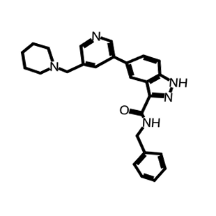 O=C(NCc1ccccc1)c1n[nH]c2ccc(-c3cncc(CN4CCCCC4)c3)cc12